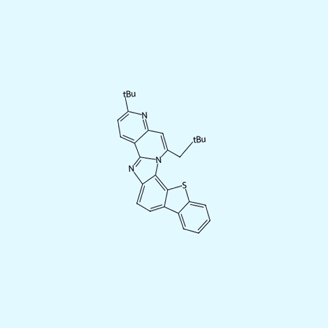 CC(C)(C)Cc1cc2nc(C(C)(C)C)ccc2c2nc3ccc4c5ccccc5sc4c3n12